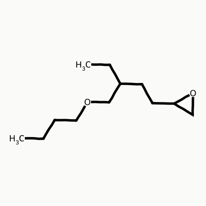 CCCCOCC(CC)CCC1CO1